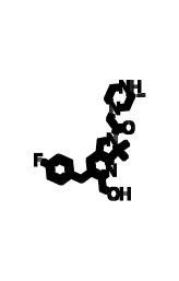 C[C@@H]1CN(CC(=O)N2Cc3cc(Cc4ccc(F)cc4)c(CO)nc3C2(C)C)CCN1